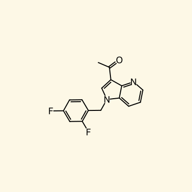 CC(=O)c1cn(Cc2ccc(F)cc2F)c2cccnc12